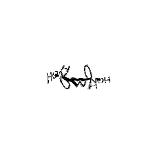 O=C(NCO)c1ccc(C(=O)NCO)nc1